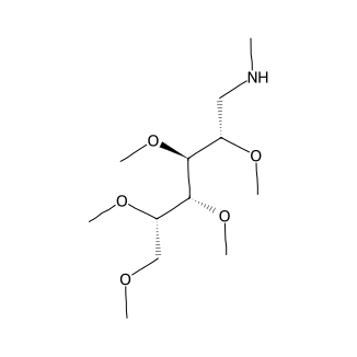 CNC[C@H](OC)[C@H](OC)[C@H](OC)[C@H](COC)OC